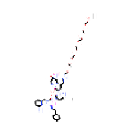 COCCOCCOCCOCCOCCOCCOCCNCCCCC(NC(=O)C(CC(C)C)NC(=O)C(Cc1ccccc1)NC(=O)C(N)Cc1ccccc1)C(=O)N1CCC(N)(C(=O)O)CC1